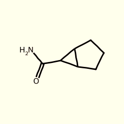 NC(=O)C1C2CCCC21